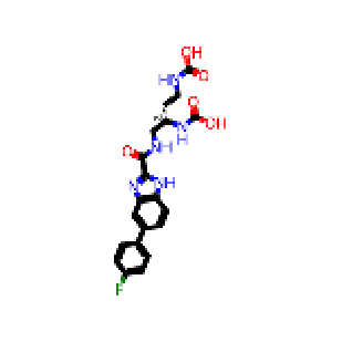 O=C(O)NCC[C@@H](CNC(=O)c1nc2cc(-c3ccc(F)cc3)ccc2[nH]1)NC(=O)O